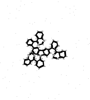 c1ccc(-c2ncnc3ccccc23)c(-c2ccc3c(c2)c2cc(-c4ccccc4-c4ncnc5ccccc45)ccc2n3-c2ccccc2-c2ncnc3ccccc23)c1